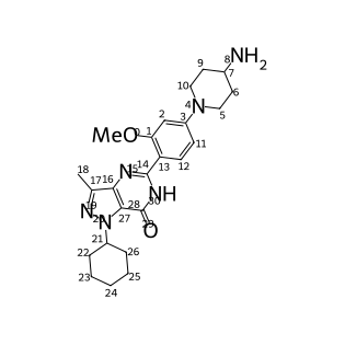 COc1cc(N2CCC(N)CC2)ccc1-c1nc2c(C)nn(C3CCCCC3)c2c(=O)[nH]1